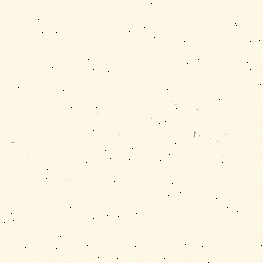 O=C1C(=O)N(C2CCCC2)CCN1Cc1ncc(-c2cc(F)ccn2)cn1